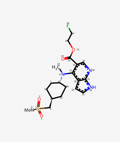 CNS(=O)(=O)C[C@H]1CC[C@H](N(C)c2c(C(=O)OCCF)cnc3[nH]ccc23)CC1